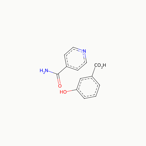 NC(=O)c1ccncc1.O=C(O)c1cccc(O)c1